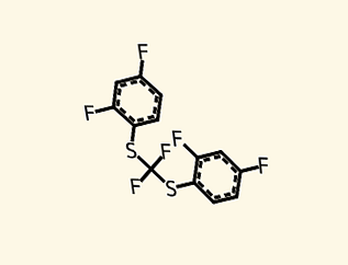 Fc1ccc(SC(F)(F)Sc2ccc(F)cc2F)c(F)c1